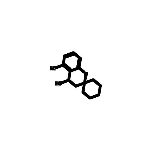 N#Cc1cccc2c1C(O)CC1(CCCCC1)O2